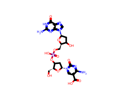 Nc1nc2c(ncn2[C@H]2CC(O)[C@@H](COP(=O)(O)OC3C[C@H](n4cc(C(=O)O)c(N)nc4=O)O[C@@H]3CO)O2)c(=O)[nH]1